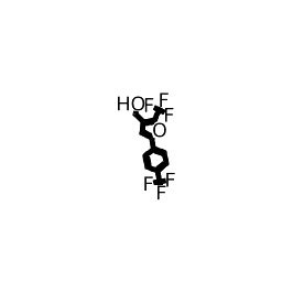 OCc1cc(-c2ccc(C(F)(F)F)cc2)oc1C(F)(F)F